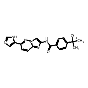 CC(C)(C)c1ccc(C(=O)Nc2cn3nc(-c4cnc[nH]4)ccc3n2)cc1